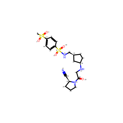 CS(=O)(=O)c1ccc(S(=O)(=O)NC[C@H]2CC[C@@H](NCC(=O)N3CCC[C@H]3C#N)C2)cc1